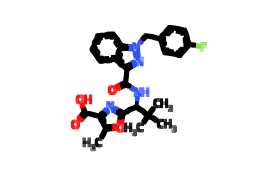 Cc1oc([C@@H](NC(=O)c2nn(Cc3ccc(F)cc3)c3ccccc23)C(C)(C)C)nc1C(=O)O